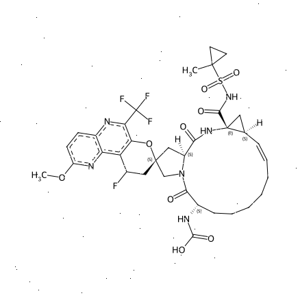 COc1ccc2nc(C(F)(F)F)c3c(c2n1)C(F)C[C@]1(C[C@H]2C(=O)N[C@]4(C(=O)NS(=O)(=O)C5(C)CC5)C[C@H]4C=CCCCCC[C@H](NC(=O)O)C(=O)N2C1)O3